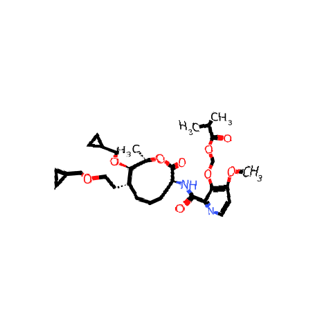 COc1ccnc(C(=O)N[C@H]2CCC[C@H](CCOCC3CC3)[C@@H](OCC3CC3)[C@H](C)OC2=O)c1OCOC(=O)C(C)C